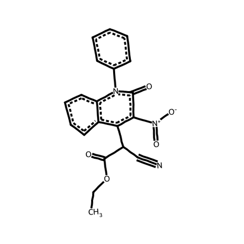 CCOC(=O)C(C#N)c1c([N+](=O)[O-])c(=O)n(-c2ccccc2)c2ccccc12